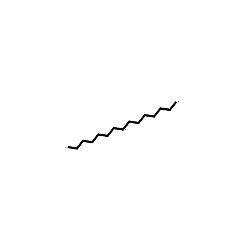 [CH2]CCCCCC[CH]CCCCCC[CH2]